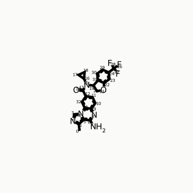 Cc1ncn2c1c(N)nc1ccc(C(=O)N(C3CC3)C3COc4cc(C(F)(F)F)ccc43)cc12